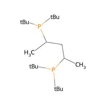 CC(CC(C)P(C(C)(C)C)C(C)(C)C)P(C(C)(C)C)C(C)(C)C